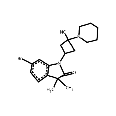 CC1(C)C(=O)N(C2CC(C#N)(N3CCCCC3)C2)c2cc(Br)ccc21